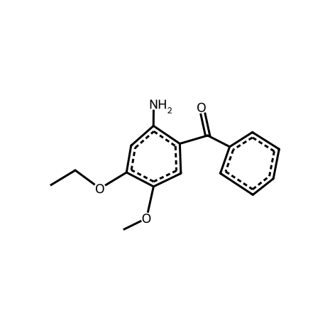 CCOc1cc(N)c(C(=O)c2ccccc2)cc1OC